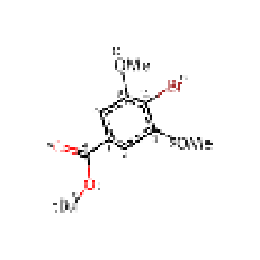 COc1cc(C(=O)OC(C)(C)C)cc(OC)c1Br